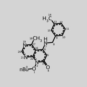 CCCCOn1c(=O)cc(NCc2cccc(C)c2)c2c(C)ncnc21